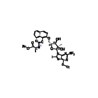 CCOc1nc(N)nc2c1nc(I)n2C1O[C@H](COc2ccc3ccccc3c2O/[P+]([O-])=N/[C@@H](C)C(=O)OC(C)C)[C@@H](O)[C@@]1(C)O